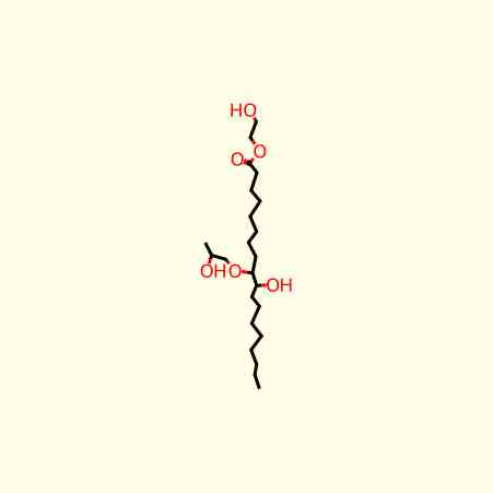 CCCCCCCCC(O)C(CCCCCCCC(=O)OCCO)OCC(C)O